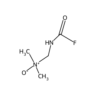 C[N+](C)([O-])CNC(=O)F